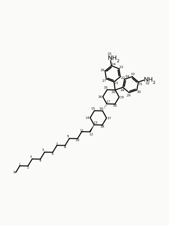 CCCCCCCCCCCCC[C@H]1CC[C@H](C2CCC(c3ccc(N)cc3)(c3ccc(N)cc3)CC2)CC1